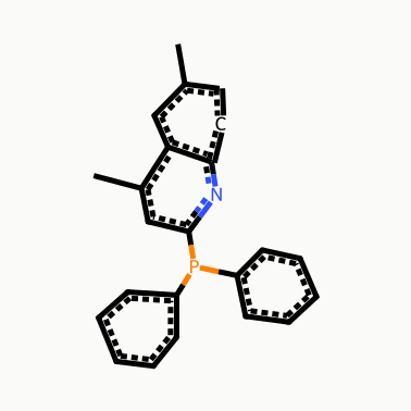 Cc1ccc2nc(P(c3ccccc3)c3ccccc3)cc(C)c2c1